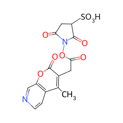 Cc1c(CC(=O)ON2C(=O)CC(S(=O)(=O)O)C2=O)c(=O)oc2cnccc12